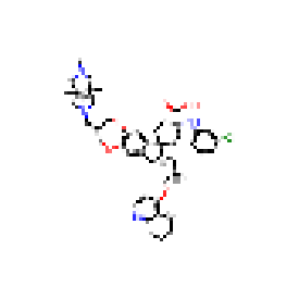 C[C@@H](COc1ccnc2c1[C@H](C)CCC2)C[C@H]1Cc2cc3c(cc2C12CCC(Nc1cccc(Cl)c1)(C(=O)O)CC2)OCC(CN1C[C@]2(C)CN(C)C[C@]2(C)C1)CO3